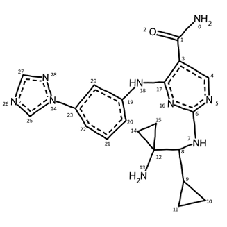 NC(=O)c1cnc(NC(C2CC2)C2(N)CC2)nc1Nc1cccc(-n2cncn2)c1